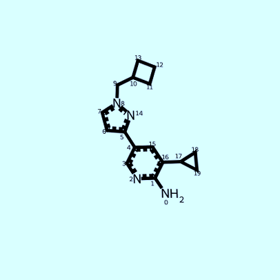 Nc1ncc(-c2ccn(CC3CCC3)n2)cc1C1CC1